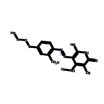 CCNc1c(/N=N/c2ccc(SOOO)cc2C(=O)O)c(O)[nH]c(=O)c1C#N